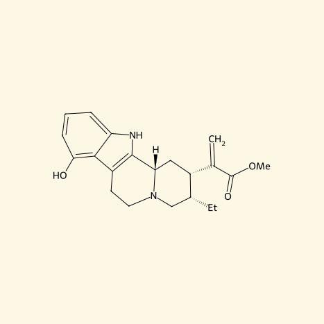 C=C(C(=O)OC)[C@H]1C[C@H]2c3[nH]c4cccc(O)c4c3CCN2C[C@H]1CC